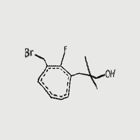 CC(C)(O)c1cccc(Br)c1F